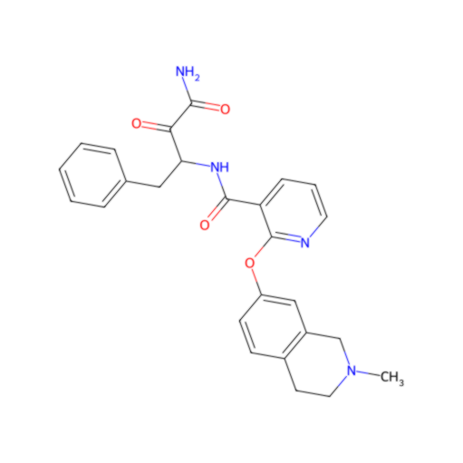 CN1CCc2ccc(Oc3ncccc3C(=O)NC(Cc3ccccc3)C(=O)C(N)=O)cc2C1